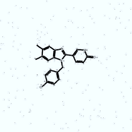 Cc1cc2nc(-c3ccc(=O)[nH]c3)n(Cc3ccc(Cl)cc3)c2cc1C